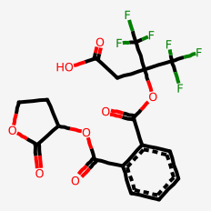 O=C(O)CC(OC(=O)c1ccccc1C(=O)OC1CCOC1=O)(C(F)(F)F)C(F)(F)F